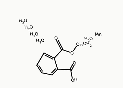 O.O.O.O.O.O.O=C(O)c1ccccc1C(=O)OO.[Mn]